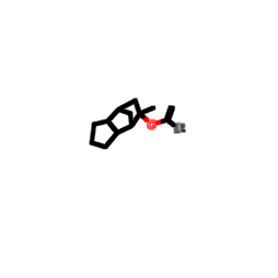 C=C(CC)OC1(C)CC2CC1C1CCCC21